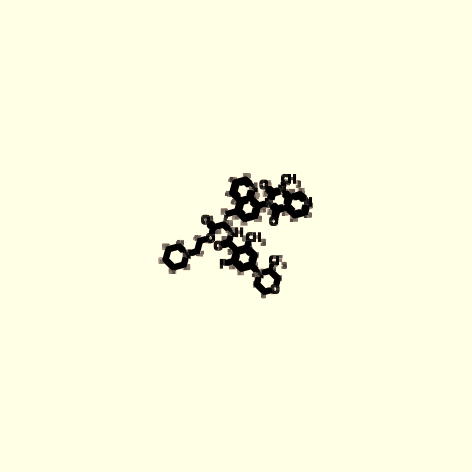 Cc1cc(N2CCOC[C@@H]2C(F)(F)F)cc(F)c1C(=O)N[C@@H](Cc1ccc(-n2c(=O)c3ccncc3n(C)c2=O)c2ncccc12)C(=O)OCCN1CCCCC1